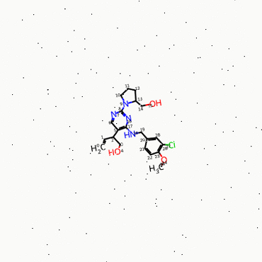 C=CC(CO)c1cnc(N2CCCC2CO)nc1NCc1ccc(OC)c(Cl)c1